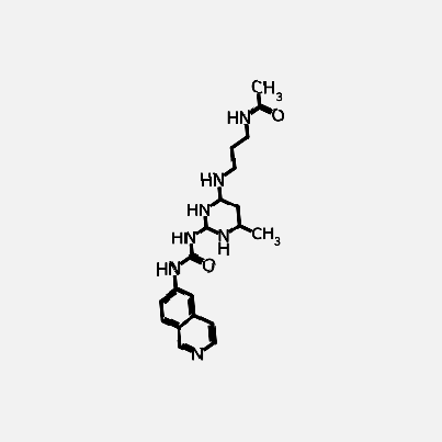 CC(=O)NCCCNC1CC(C)NC(NC(=O)Nc2ccc3cnccc3c2)N1